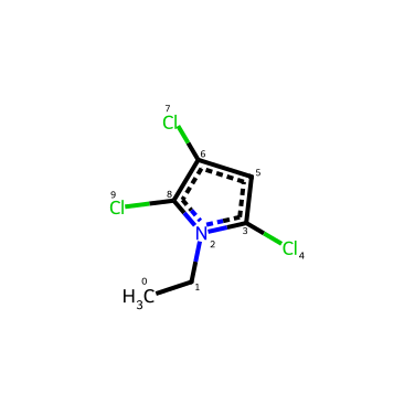 CCn1c(Cl)cc(Cl)c1Cl